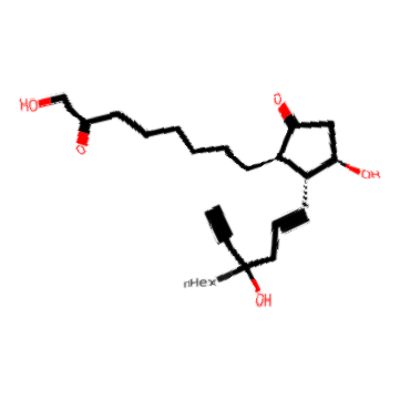 C#CC(O)(C/C=C/[C@H]1[C@H](O)CC(=O)[C@@H]1CCCCCCC(=O)CO)CCCCCC